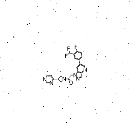 O=C(Cn1ncc2ncc(-c3ccc(F)c(C(F)F)c3)cc21)N1CC(c2ccncn2)C1